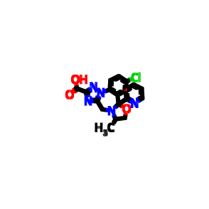 CC1COC2(c3ccccn3)c3cc(Cl)ccc3-n3nc(C(=O)O)nc3CN12